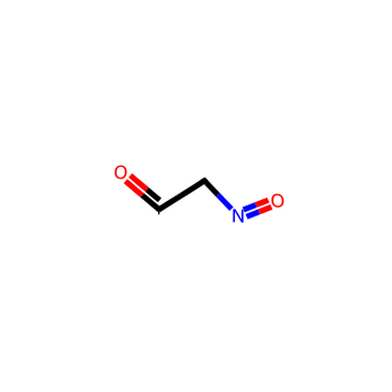 O=[C]CN=O